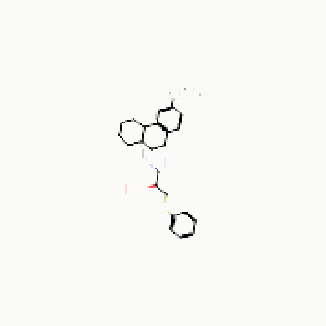 CC[C@@]12CCCC[C@@H]1[C@@H](NCC(O)CSc1ccccc1)Cc1ccc(OC)cc12